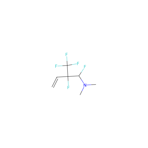 C=CC(F)(C(F)N(C)C)C(F)(F)F